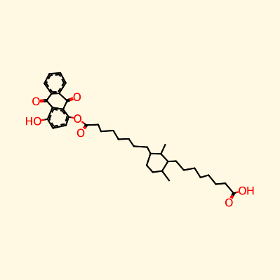 CC1CCC(CCCCCCCC(=O)Oc2ccc(O)c3c2C(=O)c2ccccc2C3=O)C(C)C1CCCCCCCC(=O)O